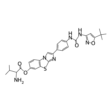 CC(C)C(N)C(=O)Oc1ccc2c(c1)sc1nc(-c3ccc(NC(=O)Nc4cc(C(C)(C)C)on4)cc3)cn12